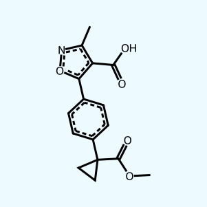 COC(=O)C1(c2ccc(-c3onc(C)c3C(=O)O)cc2)CC1